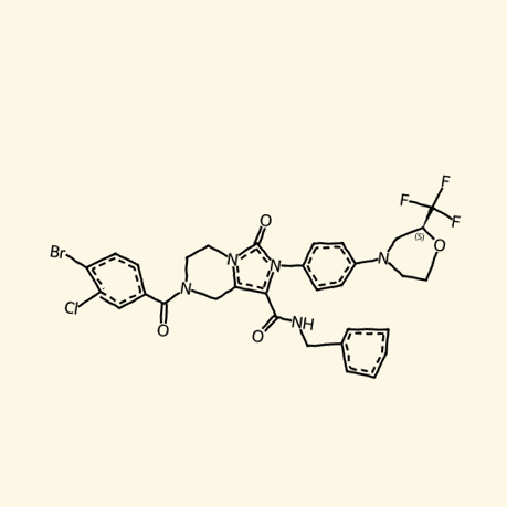 O=C(NCc1ccccc1)c1c2n(c(=O)n1-c1ccc(N3CCO[C@H](C(F)(F)F)C3)cc1)CCN(C(=O)c1ccc(Br)c(Cl)c1)C2